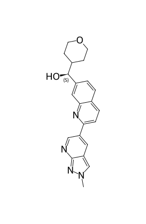 Cn1cc2cc(-c3ccc4ccc([C@@H](O)C5CCOCC5)cc4n3)cnc2n1